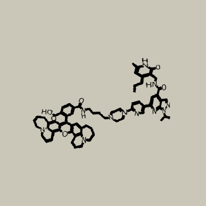 CCCc1cc(C)[nH]c(=O)c1CNC(=O)c1cc(-c2ccc(N3CCN(CCCCNC(=O)c4ccc(C(=O)O)c(C5=c6cc7c8c(c6Oc6c5cc5c9c6CCCN9CCCC5)CCC[N+]=8CCCC7)c4)CC3)nc2)nc2c1cnn2C(C)C